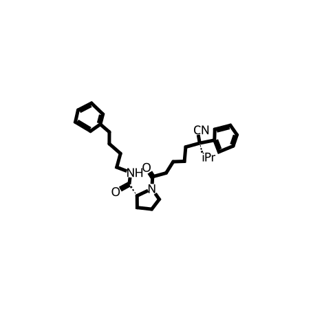 CC(C)[C@@](C#N)(CCCCC(=O)N1CCC[C@@H]1C(=O)NCCCCc1ccccc1)c1ccccc1